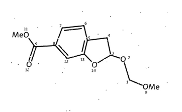 COCOC1Cc2ccc(C(=O)OC)cc2O1